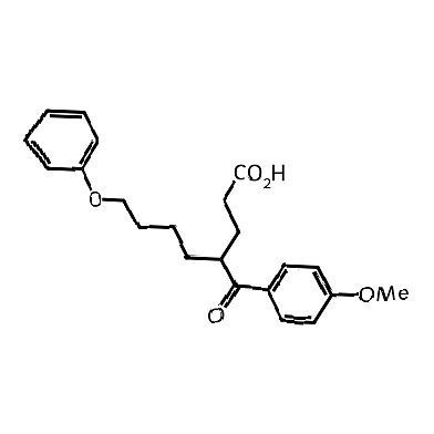 COc1ccc(C(=O)C(CCCCOc2ccccc2)CCC(=O)O)cc1